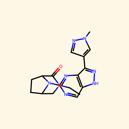 CCN1CC2CCC(C1=O)N2c1ncc2[nH]nc(-c3cnn(C)c3)c2n1